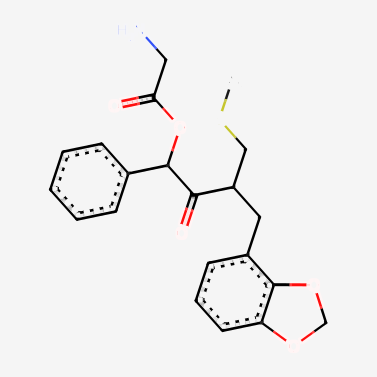 CC(=O)SCC(Cc1cccc2c1OCO2)C(=O)C(OC(=O)CN)c1ccccc1